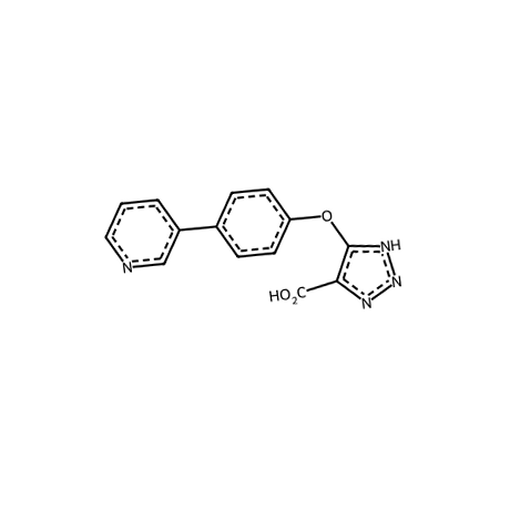 O=C(O)c1nn[nH]c1Oc1ccc(-c2cccnc2)cc1